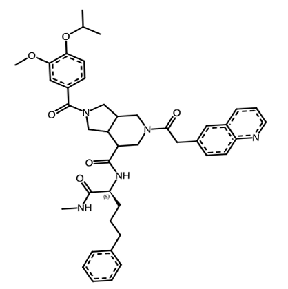 CNC(=O)[C@H](CCCc1ccccc1)NC(=O)C1CN(C(=O)Cc2ccc3ncccc3c2)CC2CN(C(=O)c3ccc(OC(C)C)c(OC)c3)CC21